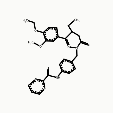 CCOc1ccc(C2=NN(Cc3ccc(NC(=O)c4ncccn4)cc3)C(=O)CC2CC)cc1OC